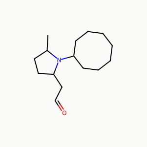 CC1CCC(CC=O)N1C1CCCCCCC1